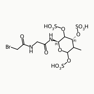 CC1C(OS(=O)(=O)O)O[C@@H](NC(=O)CNC(=O)CBr)C(OS(=O)(=O)O)[C@@H]1OS(=O)(=O)O